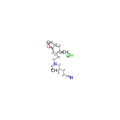 CCN(CCCCC#N)CCc1cc(OC)ccc1C.Cl